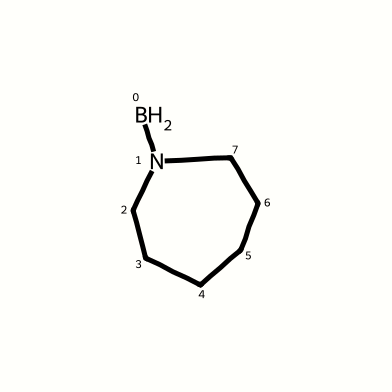 BN1CCCCCC1